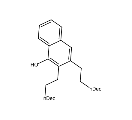 CCCCCCCCCCCCc1cc2ccccc2c(O)c1CCCCCCCCCCCC